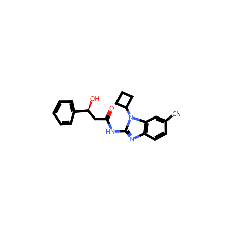 N#Cc1ccc2nc(NC(=O)C[C@H](O)c3ccccc3)n(C3CCC3)c2c1